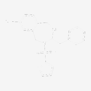 N#Cc1ccc2c(c1)CN(S(=O)(=O)c1cccs1)C(Cc1ccccc1)NC2